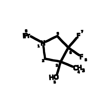 CC(C)N1CC(C)(O)C(F)(F)C1